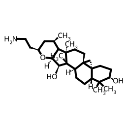 C[C@@H]1C[C@H](CCN)O[C@H]2C1[C@@]1(C)CC[C@@]34C[C@@]35CC[C@H](O)C(C)(C)[C@@H]5CC[C@H]4[C@]1(C)[C@H]2O